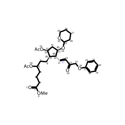 COC(=O)CCCC(CC[C@@H]1[C@@H](/C=C/C(=O)COc2ccccc2)[C@H](OC2CCCCO2)C[C@@H]1OC(C)=O)OC(C)=O